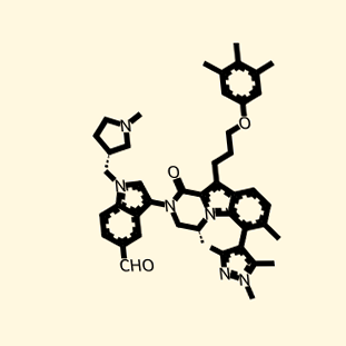 Cc1cc(OCCCc2c3n(c4c(-c5c(C)nn(C)c5C)c(C)ccc24)[C@H](C)CN(c2cn(C[C@@H]4CCN(C)C4)c4ccc(C=O)cc24)C3=O)cc(C)c1C